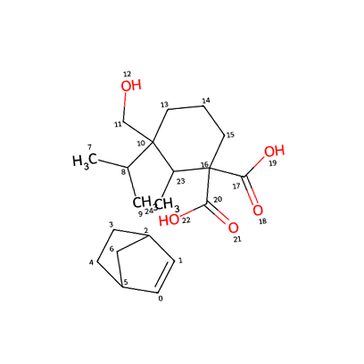 C1=CC2CCC1C2.CC(C)C1(CO)CCCC(C(=O)O)(C(=O)O)C1C